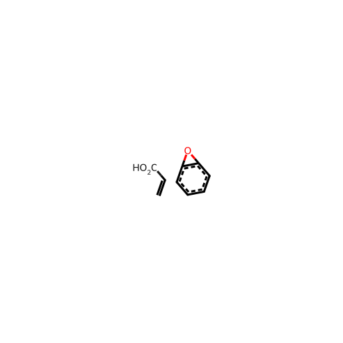 C=CC(=O)O.c1ccc2c(c1)O2